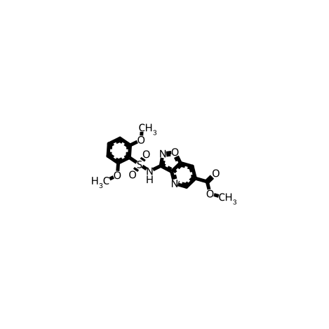 COC(=O)c1cnc2c(NS(=O)(=O)c3c(OC)cccc3OC)noc2c1